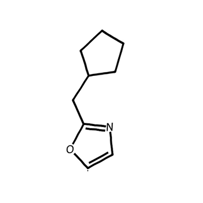 [c]1cnc(CC2CCCC2)o1